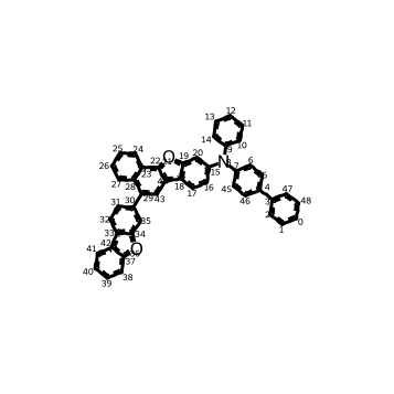 c1ccc(-c2ccc(N(c3ccccc3)c3ccc4c(c3)oc3c5ccccc5c(-c5ccc6c(c5)oc5ccccc56)cc43)cc2)cc1